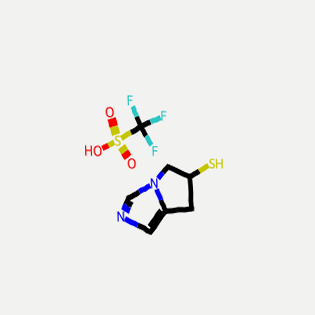 O=S(=O)(O)C(F)(F)F.SC1Cc2cncn2C1